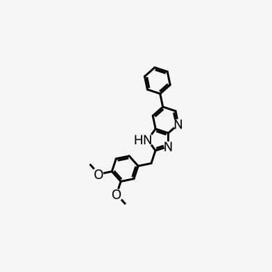 COc1ccc(Cc2nc3ncc(-c4ccccc4)cc3[nH]2)cc1OC